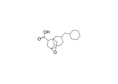 O=C(O)C1CCC2OC2(C2CCC(CC3CCCCC3)CC2)C1